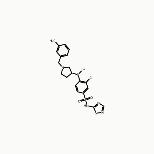 CCN(c1ccc(S(=O)(=O)Nc2ncns2)cc1Cl)[C@H]1CCN(Cc2cccc(C)c2)C1